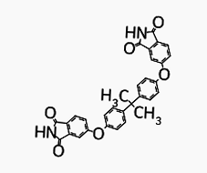 CC(C)(c1ccc(Oc2ccc3c(c2)C(=O)NC3=O)cc1)c1ccc(Oc2ccc3c(c2)C(=O)NC3=O)cc1